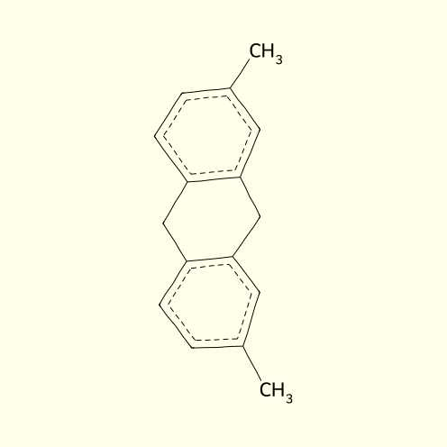 Cc1ccc2c(c1)Cc1cc(C)ccc1C2